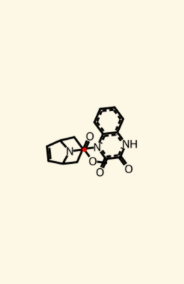 COC(=O)N1C2C=CC1CC(n1c(=O)c(=O)[nH]c3ccccc31)C2